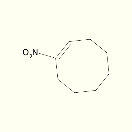 O=[N+]([O-])C1=CCCCCCC1